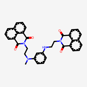 CN(CCN1C(=O)c2cccc3cccc(c23)C1=O)c1cccc(NCCN2C(=O)c3cccc4cccc(c34)C2=O)c1